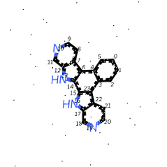 c1ccc2c(c1)c1c3ccncc3[nH]c1c1[nH]c3cnccc3c21